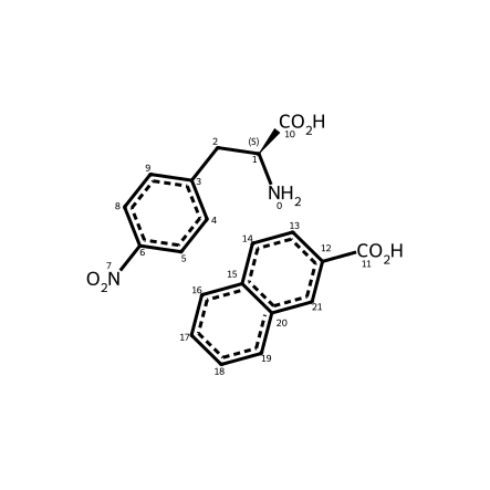 N[C@@H](Cc1ccc([N+](=O)[O-])cc1)C(=O)O.O=C(O)c1ccc2ccccc2c1